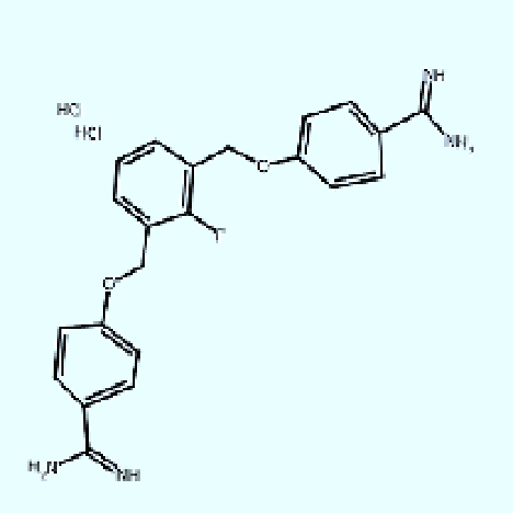 Cl.Cl.N=C(N)c1ccc(OCc2cccc(COc3ccc(C(=N)N)cc3)c2F)cc1